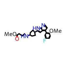 COC(=O)CCCNC1CCC(c2cc3c(-c4cc(F)ccc4OC)ccnc3[nH]2)CC1